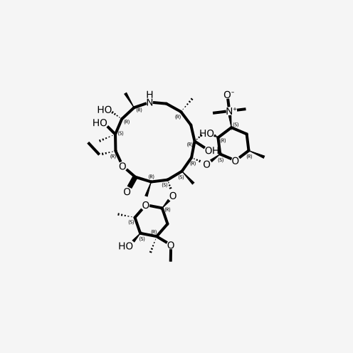 CC[C@H]1OC(=O)[C@H](C)[C@@H](O[C@H]2C[C@@](C)(OC)[C@@H](O)[C@H](C)O2)[C@H](C)[C@@H](O[C@@H]2O[C@H](C)C[C@H]([N+](C)(C)[O-])[C@H]2O)[C@](C)(O)C[C@@H](C)CN[C@H](C)[C@@H](O)[C@]1(C)O